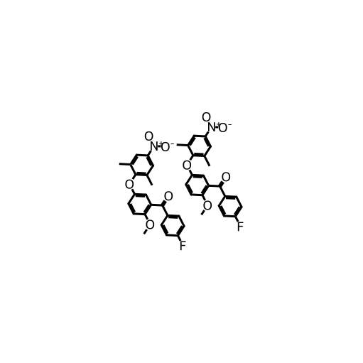 COc1ccc(Oc2c(C)cc([N+](=O)[O-])cc2C)cc1C(=O)c1ccc(F)cc1.COc1ccc(Oc2c(C)cc([N+](=O)[O-])cc2C)cc1C(=O)c1ccc(F)cc1